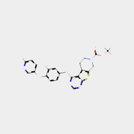 Cc1ccc(Oc2ccc(Nc3ncnc4sc5c(c34)CCN(C(=O)OC(C)(C)C)C5)cc2C)cn1